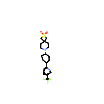 O=S1(=O)CC2(CCN([C@H]3CC[C@H](c4ccc(C(F)(F)F)cn4)CC3)CC2)C1